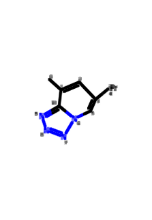 Cc1cc(C(C)C)cn2nnnc12